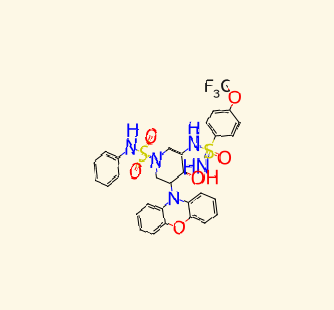 N=S(=O)(NC1CN(S(=O)(=O)Nc2ccccc2)CC(N2c3ccccc3Oc3ccccc32)C1O)c1ccc(OC(F)(F)F)cc1